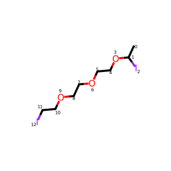 CC(I)OCCOCCOCCI